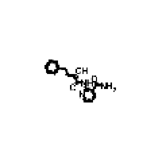 NC(=O)c1cccnc1NC(=O)[C@@H](O)[CH]Cc1ccccc1